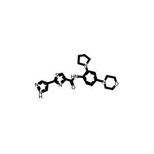 O=C(Nc1ccc(N2CCOCC2)cc1N1CCCC1)c1csc(-c2cn[nH]c2)n1